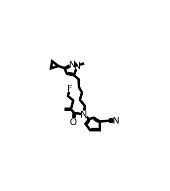 C=C(CCF)C(=O)N(CCCCCc1cc(C2CC2)nn1C)c1cccc(C#N)c1